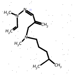 C=CN(C)/N=C\C(=C)CN(C)CCCC(C)C